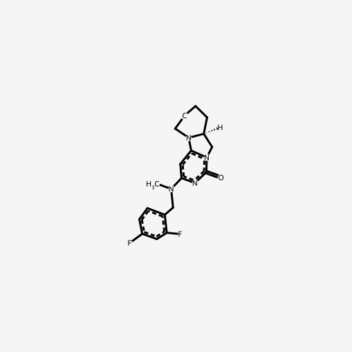 CN(Cc1ccc(F)cc1F)c1cc2n(c(=O)n1)C[C@@H]1CCCCN21